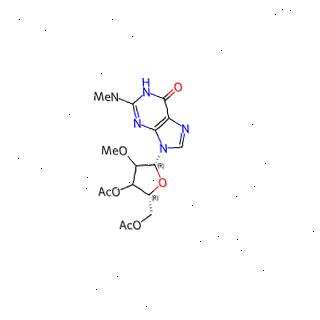 CNc1nc2c(ncn2[C@@H]2O[C@H](COC(C)=O)C(OC(C)=O)C2OC)c(=O)[nH]1